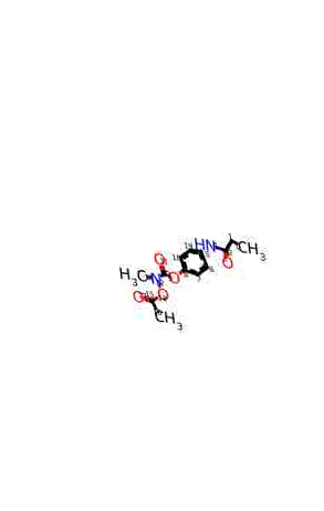 CCC(=O)Nc1ccc(OC(=O)N(C)OC(C)=O)cc1